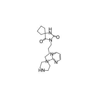 O=C1NC2(CCCC2)C(=O)N1CCCC[N+]1(c2ncccn2)CCNCC1